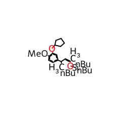 CCCC[Si](CCCC)(CCCC)OC(C)=CC(C)c1ccc(OC)c(OC2CCCC2)c1